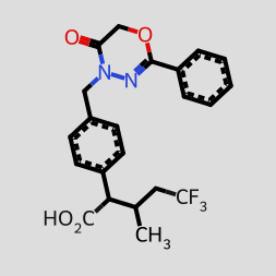 CC(CC(F)(F)F)C(C(=O)O)c1ccc(CN2N=C(c3ccccc3)OCC2=O)cc1